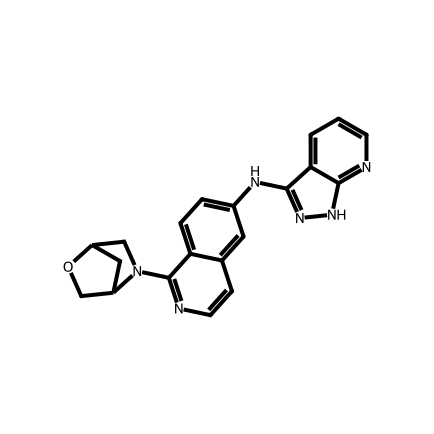 c1cnc2[nH]nc(Nc3ccc4c(N5CC6CC5CO6)nccc4c3)c2c1